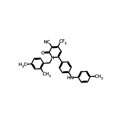 Cc1ccc(Nc2ccc(-c3cc(C(F)(F)F)c(C#N)c(=O)n3Cc3ccc(C)cc3C)cc2)cc1